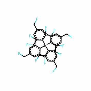 FCc1cc(CF)c([B-](c2c(CF)cc(CF)cc2CF)(c2c(CF)cc(CF)cc2CF)c2c(CF)cc(CF)cc2CF)c(CF)c1